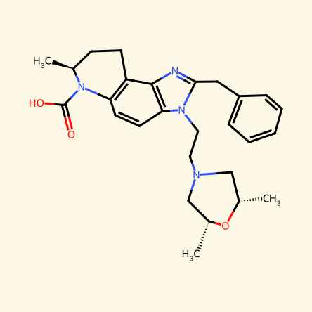 C[C@@H]1CN(CCn2c(Cc3ccccc3)nc3c4c(ccc32)N(C(=O)O)[C@@H](C)CC4)C[C@H](C)O1